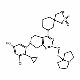 O=S1(=O)NCC2(CCCN(c3nc(OCC45CCCN4CCC5)nc4c3CCN(c3cc(O)cc(Cl)c3C3CC3)C4)C2)N1